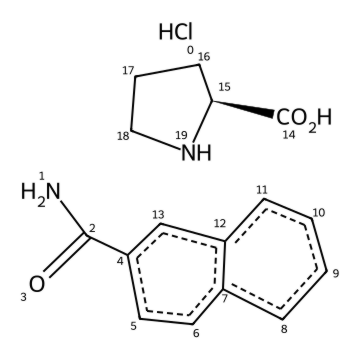 Cl.NC(=O)c1ccc2ccccc2c1.O=C(O)[C@@H]1CCCN1